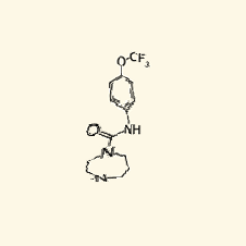 O=C(Nc1ccc(OC(F)(F)F)cc1)N1CCC[N]CC1